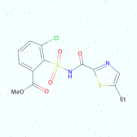 CCc1cnc(C(=O)NS(=O)(=O)c2c(Cl)cccc2C(=O)OC)s1